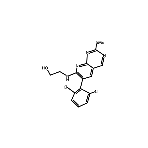 CSc1ncc2cc(-c3c(Cl)cccc3Cl)c(NCCO)nc2n1